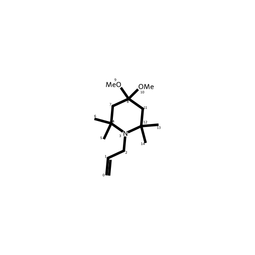 C=CCN1C(C)(C)CC(OC)(OC)CC1(C)C